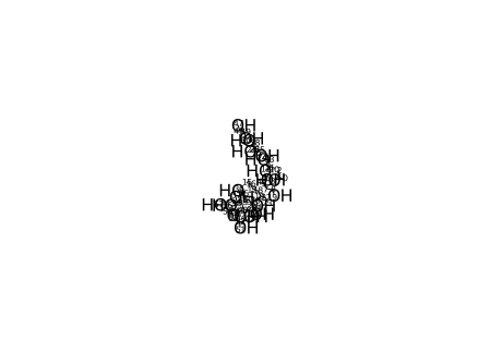 CC(C)O.CC(O)CCO.CC(O)CO.CCCCC(=CO)CC.OCC(O)CO.OCCCCCO.OCCCCO.OCCO.OCCO.OCCOCCO